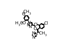 COc1ccc(-n2cc(CO/C(=C(/C)n3cncn3)c3ccc(Cl)cc3Cl)nn2)c(OC)c1